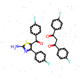 Nc1nc(-c2ccc(F)cc2)c(C(=O)c2ccc(F)cc2)s1.O=C(CC(=O)c1ccc(F)cc1)c1ccc(F)cc1